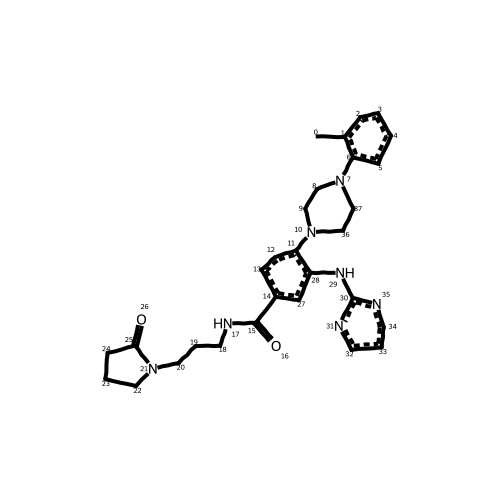 Cc1ccccc1N1CCN(c2ccc(C(=O)NCCCN3CCCC3=O)cc2Nc2ncccn2)CC1